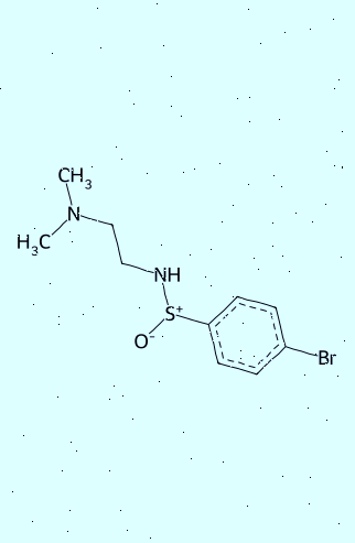 CN(C)CCN[S+]([O-])c1ccc(Br)cc1